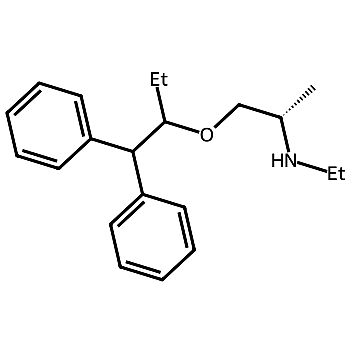 CCN[C@@H](C)COC(CC)C(c1ccccc1)c1ccccc1